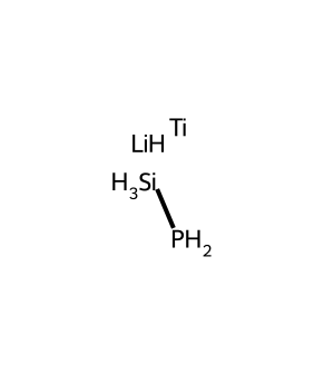 [LiH].[SiH3]P.[Ti]